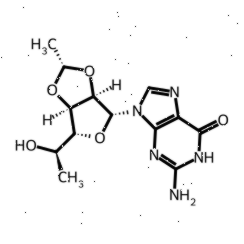 C[C@H]1O[C@H]2[C@@H](O1)[C@H](n1cnc3c(=O)[nH]c(N)nc31)O[C@@H]2[C@@H](C)O